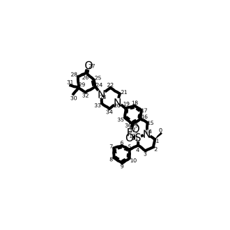 C[C@H]1CCC(c2ccccc2)S(=O)(=O)N1Cc1ccc(N2CCN(C3=CC(=O)CC(C)(C)C3)CC2)cc1F